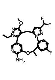 CCn1nc(OC)c2c1-c1cnc(N)c(c1)OC(C)c1cc(F)ccc1-n1nc(C(F)F)cc1C2